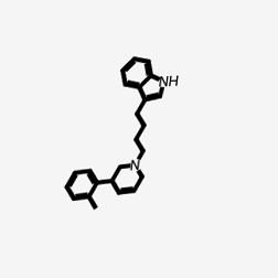 Cc1ccccc1C1C=CCN(CCCCc2c[nH]c3ccccc23)C1